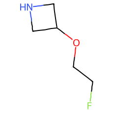 FCCOC1CNC1